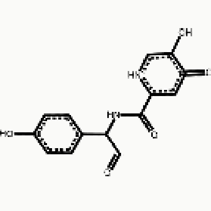 O=[C]C(NC(=O)c1cc(=O)c(O)c[nH]1)c1ccc(O)cc1